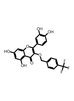 O=c1c(OCc2ccc(C(F)(F)F)cc2)c(-c2ccc(O)c(O)c2)oc2cc(O)cc(O)c12